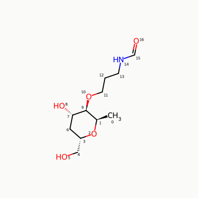 C[C@H]1O[C@H](CO)C[C@H](O)[C@H]1OCCCNC=O